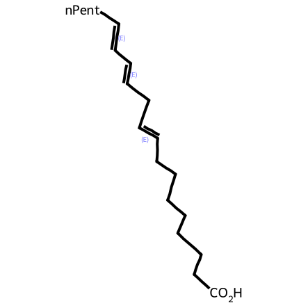 CCCCC/C=C/C=C/C/C=C/CCCCCCCC(=O)O